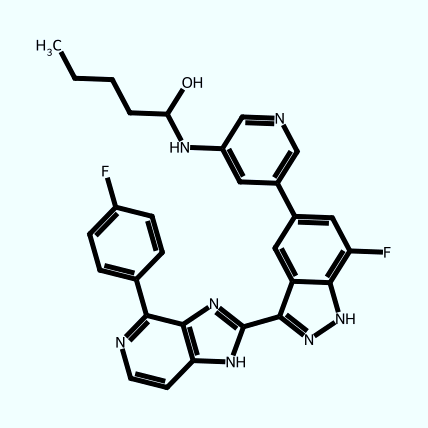 CCCCC(O)Nc1cncc(-c2cc(F)c3[nH]nc(-c4nc5c(-c6ccc(F)cc6)nccc5[nH]4)c3c2)c1